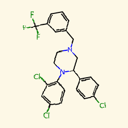 FC(F)(F)c1cccc(CN2CCN(c3ccc(Cl)cc3Cl)C(c3ccc(Cl)cc3)C2)c1